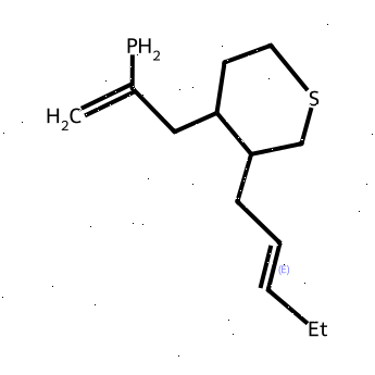 C=C(P)CC1CCSCC1C/C=C/CC